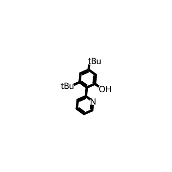 CC(C)(C)c1cc(O)c(-c2ccccn2)c(C(C)(C)C)c1